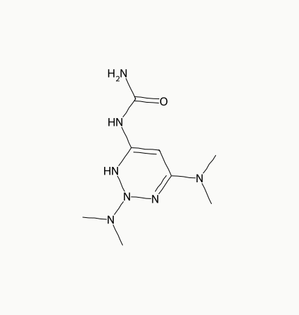 CN(C)C1=NN(N(C)C)NC(NC(N)=O)=C1